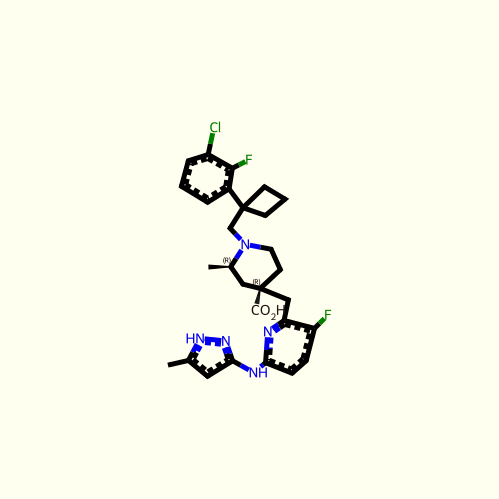 Cc1cc(Nc2ccc(F)c(C[C@@]3(C(=O)O)CCN(CC4(c5cccc(Cl)c5F)CCC4)[C@H](C)C3)n2)n[nH]1